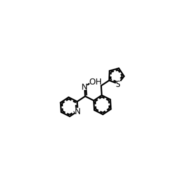 ON=C(c1ccccn1)c1ccccc1Cc1cccs1